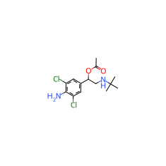 CC(=O)OC(CNC(C)(C)C)c1cc(Cl)c(N)c(Cl)c1